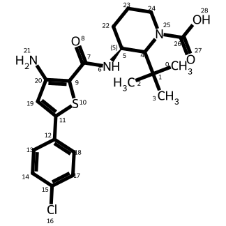 CC(C)(C)C1[C@@H](NC(=O)c2sc(-c3ccc(Cl)cc3)cc2N)CCCN1C(=O)O